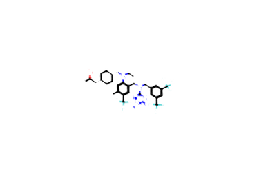 CCN(C[C@H]1CC[C@H](CC(C)=O)CC1)c1cc(C)c(C(F)(F)F)cc1CN(Cc1cc(C(F)(F)F)cc(C(F)(F)F)c1)c1nnn(C)n1